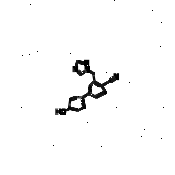 N#Cc1ccc(-c2ccc(O)cc2)cc1Cn1cncn1